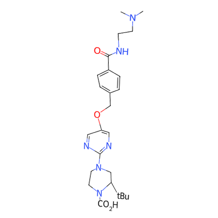 CN(C)CCNC(=O)c1ccc(COc2cnc(N3CCN(C(=O)O)C(C(C)(C)C)C3)nc2)cc1